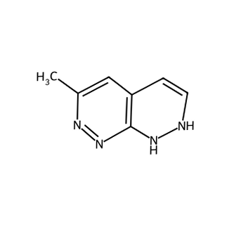 Cc1cc2c(nn1)NNC=C2